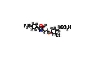 CCc1cc(OCCc2nc(-c3ccc(C(F)(F)F)cc3)oc2C)ccc1CCC(=O)O